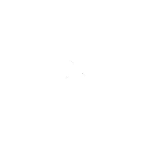 c1ccc2c(c1)Sc1cccc3nc(-n4c5ccccc5c5c6ccsc6ccc54)nc-2c13